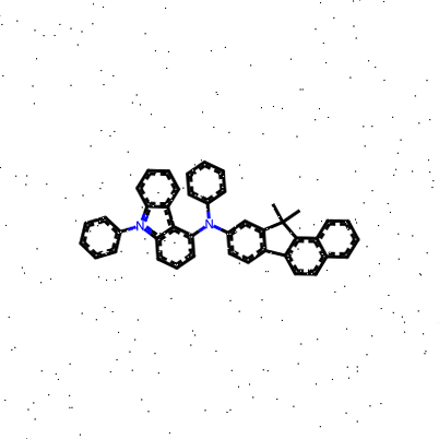 CC1(C)c2cc(N(c3ccccc3)c3cccc4c3c3ccccc3n4-c3ccccc3)ccc2-c2ccc3ccccc3c21